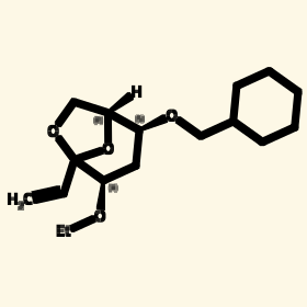 C=CC12OC[C@@H](O1)[C@@H](OCC1CCCCC1)C[C@H]2OCC